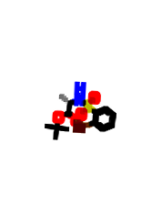 C[C@H](NS(=O)(=O)c1ccccc1Br)C(=O)OC(C)(C)C